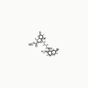 CC(NC(=O)OC(C)(C)C)c1cc(F)cc(F)c1OCCCCNc1c(N)cnc2ccc(Br)cc12